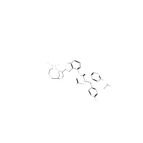 CC(C)Oc1cc([C@H](c2ccc(Cl)cc2)[C@H](NC(=O)O)C(=O)Nc2cccc(F)c2CCC2CNC3CCCS(O)(O)N2C3)ccn1